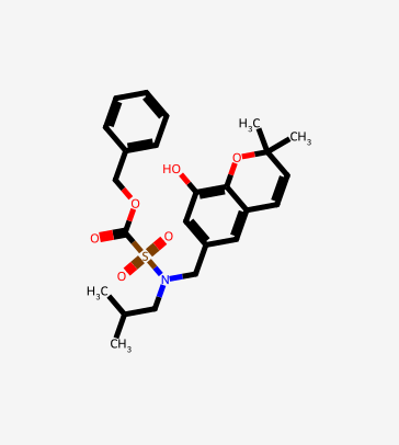 CC(C)CN(Cc1cc(O)c2c(c1)C=CC(C)(C)O2)S(=O)(=O)C(=O)OCc1ccccc1